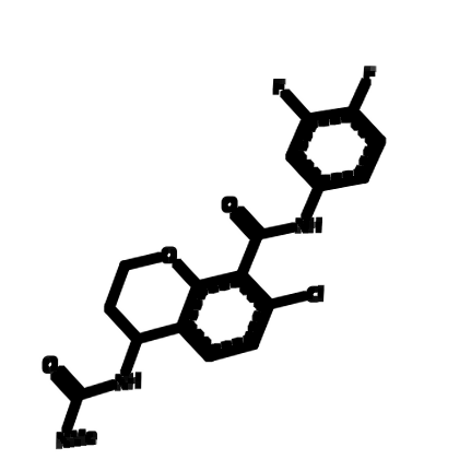 CNC(=O)NC1CCOc2c1ccc(Cl)c2C(=O)Nc1ccc(F)c(F)c1